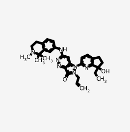 C=CCn1c(=O)c2nnc(Nc3ccc4c(c3)C(C)(C)N(C)CC4)cc2n1-c1ccc2c(n1)C(O)(CC)CC2